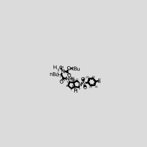 CCCC[C@@H](C(=O)N[C@H]1CC[C@@H]2CN(S(=O)(=O)c3ccc(F)cc3)C[C@@H]21)N(C)C(=O)OC(C)(C)C